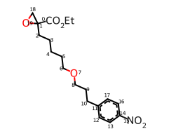 CCOC(=O)C1(CCCCCOCCCc2ccc([N+](=O)[O-])cc2)CO1